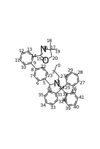 CCCN(Cc1ccc(-c2ccccc2C2=NC(C)(C)CO2)cc1)C(c1ccccc1)(c1ccccc1)c1ccccc1